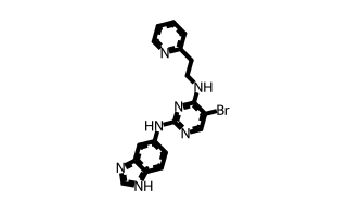 Brc1cnc(Nc2ccc3[nH]cnc3c2)nc1NCCc1ccccn1